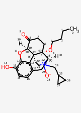 CCCCO[C@@]12CCC(=O)[C@@H]3Oc4c(O)ccc5c4[C@@]31CC[N+]([O-])(CC1CC1)[C@@H]2C5